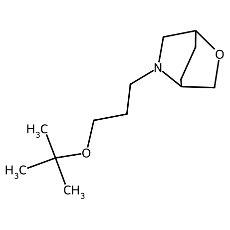 CC(C)(C)OCCCN1CC2CCC1CO2